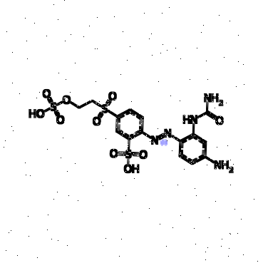 NC(=O)Nc1cc(N)ccc1/N=N/c1ccc(S(=O)(=O)CCOS(=O)(=O)O)cc1S(=O)(=O)O